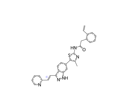 C=Cc1ccccc1CC(=O)Nc1nc(C)c(-c2ccc3c(/C=C/c4ccccn4)n[nH]c3c2)s1